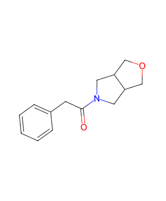 O=C(Cc1ccccc1)N1CC2COCC2C1